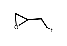 CC[CH]C1CO1